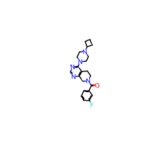 O=C(c1cccc(F)c1)N1CCc2c(ncnc2N2CCN(C3CCC3)CC2)C1